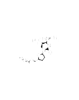 CNc1nc(=O)n([C@H]2CC[C@@H](CON=[N+]=[N-])O2)cc1C